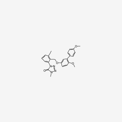 COc1ccc(-c2cc(OCc3c(C)cccc3-n3nnn(C)c3=O)ccc2OC)cc1